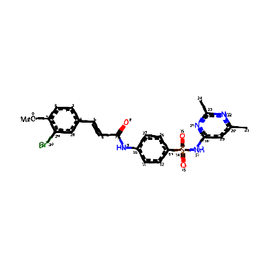 COc1ccc(/C=C/C(=O)Nc2ccc(S(=O)(=O)Nc3cc(C)nc(C)n3)cc2)cc1Br